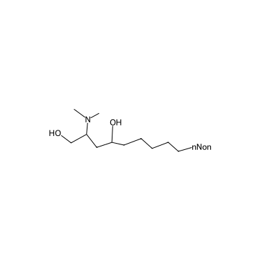 CCCCCCCCCCCCCCC(O)CC(CO)N(C)C